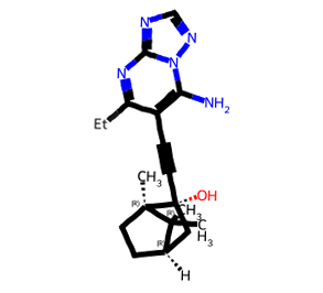 CCc1nc2ncnn2c(N)c1C#C[C@@]1(O)C[C@H]2CC[C@]1(C)C2(C)C